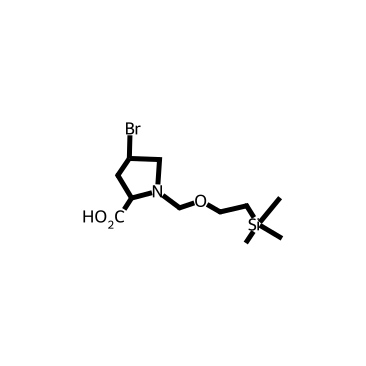 C[Si](C)(C)CCOCN1CC(Br)CC1C(=O)O